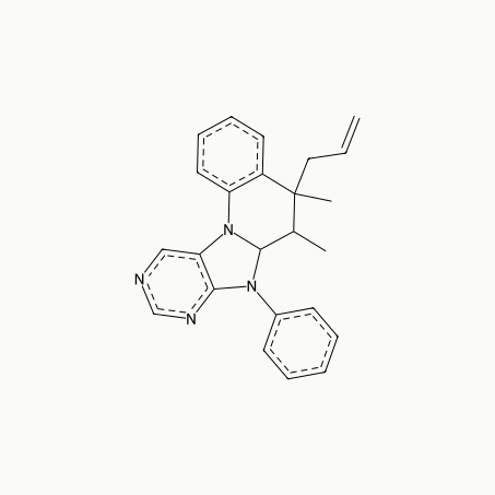 C=CCC1(C)c2ccccc2N2c3cncnc3N(c3ccccc3)C2C1C